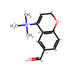 C[N+](C)(C)C1=CCOc2ccc(C=O)cc21